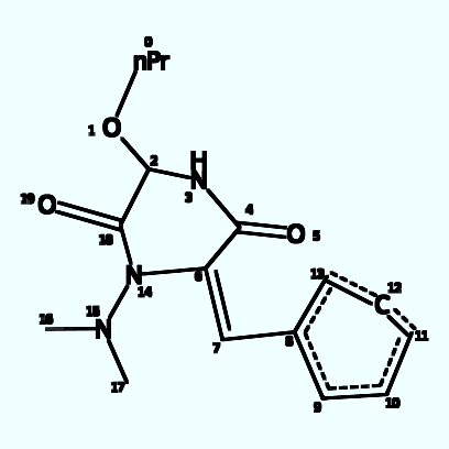 CCCOC1NC(=O)/C(=C\c2ccccc2)N(N(C)C)C1=O